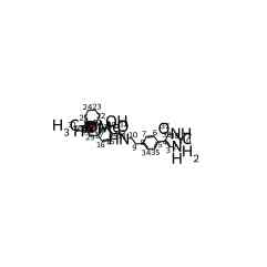 C=C1NC=C(c2ccc(CCNC(=O)c3ccc4c(c3O)[C@@]35CCCC[C@@]3(OC)[C@@H](C4)N(C)CC5)cc2)C(=O)N1